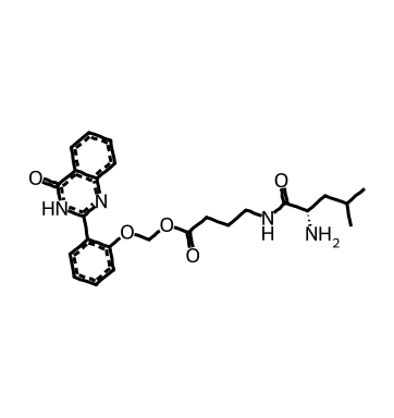 CC(C)C[C@H](N)C(=O)NCCCC(=O)OCOc1ccccc1-c1nc2ccccc2c(=O)[nH]1